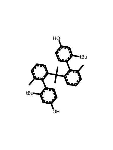 Cc1cccc(C(C)(C)c2cccc(C)c2-c2ccc(O)cc2C(C)(C)C)c1-c1ccc(O)cc1C(C)(C)C